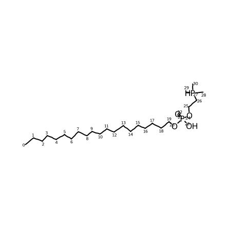 CCCCCCCCCCCCCCCCCCCCOP(=O)(O)OCC[PH](C)(C)C